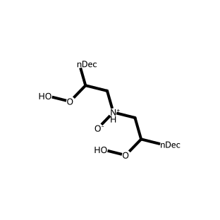 CCCCCCCCCCC(C[NH+]([O-])CC(CCCCCCCCCC)OO)OO